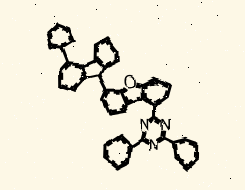 c1ccc(-c2nc(-c3ccccc3)nc(-c3cccc4oc5c(C6c7ccccc7-c7c(-c8ccccc8)cccc76)cccc5c34)n2)cc1